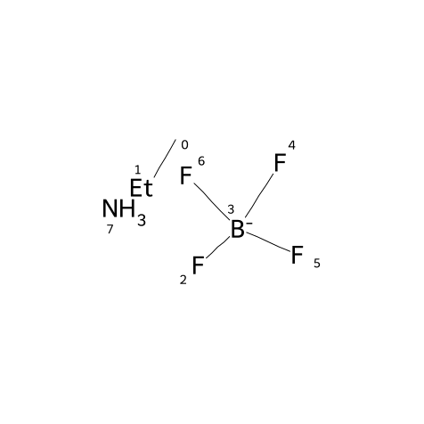 CCC.F[B-](F)(F)F.N